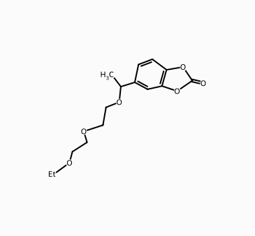 CCOCCOCCOC(C)c1ccc2oc(=O)oc2c1